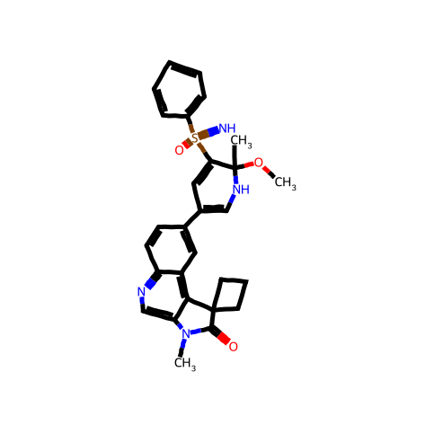 COC1(C)NC=C(c2ccc3ncc4c(c3c2)C2(CCC2)C(=O)N4C)C=C1S(=N)(=O)c1ccccc1